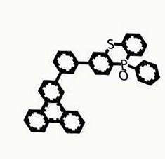 O=P1(c2ccccc2)c2ccccc2Sc2cc(-c3cccc(-c4ccc5c6ccccc6c6ccccc6c5c4)c3)ccc21